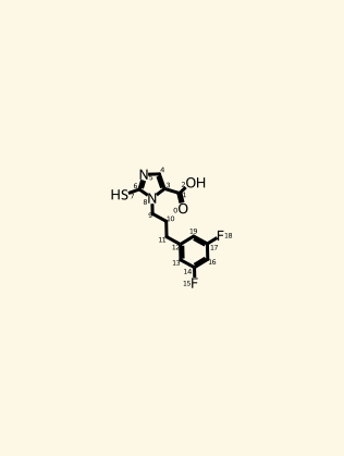 O=C(O)c1cnc(S)n1CCCc1cc(F)cc(F)c1